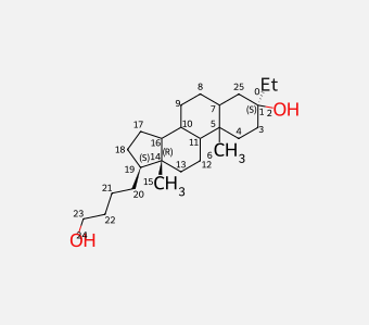 CC[C@]1(O)CCC2(C)C(CCC3C2CC[C@@]2(C)C3CC[C@@H]2CCCCO)C1